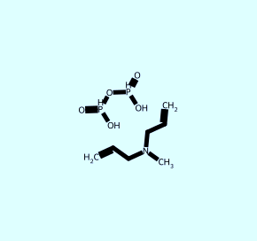 C=CCN(C)CC=C.O=[PH](O)O[PH](=O)O